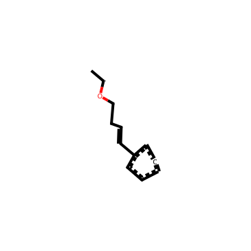 C[CH]OCC/C=C/c1ccccc1